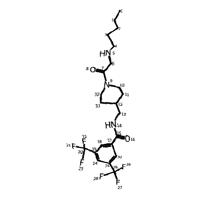 CCCCCNCC(=O)N1CCC(CNC(=O)c2cc(C(F)(F)F)cc(C(F)(F)F)c2)CC1